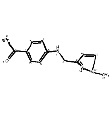 CCCC(=O)c1ccc(NCc2ccn(C)n2)cc1